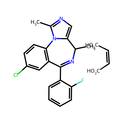 Cc1ncc2n1-c1ccc(Cl)cc1C(c1ccccc1F)=NC2C.O=C(O)/C=C\C(=O)O